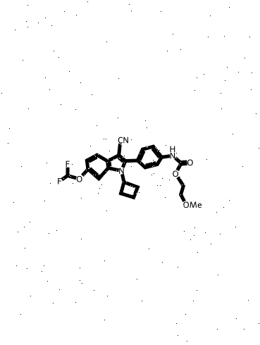 COCCOC(=O)Nc1ccc(-c2c(C#N)c3ccc(OC(F)F)cc3n2C2CCC2)cc1